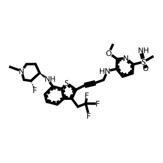 COc1nc(S(C)(=N)=O)ccc1NCC#Cc1sc2c(N[C@@H]3CCN(C)C[C@H]3F)cccc2c1CC(F)(F)F